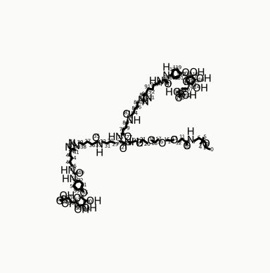 CCOC(C)(C)CCNC(=O)CCOCCOCCOCCOCCNC(=O)[C@H](CCCCNC(=O)CCCCn1cc(CCCCNC(=O)Nc2ccc(O[C@H]3O[C@H](CCP(=O)(O)O)[C@@H](O)[C@H](O)[C@@H]3O)cc2)nn1)NC(=O)CCCNC(=O)CCCCn1cc(CCCCNC(=O)Nc2ccc(O[C@H]3O[C@H](CCP(=O)(O)O)[C@@H](O)[C@H](O)[C@@H]3O)cc2)nn1